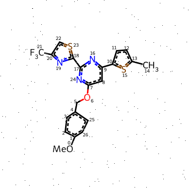 COc1ccc(COc2cc(-c3ccc(C)s3)nc(-c3nc(C(F)(F)F)cs3)n2)cc1